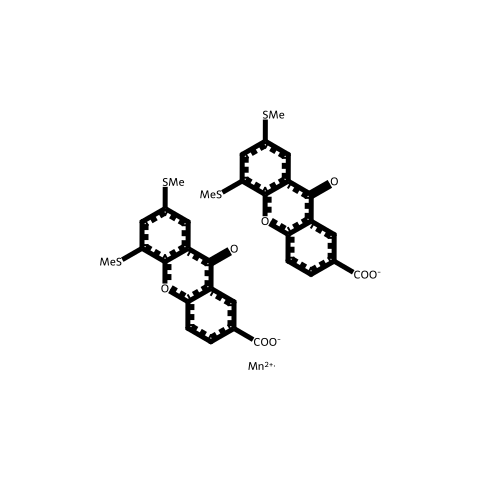 CSc1cc(SC)c2oc3ccc(C(=O)[O-])cc3c(=O)c2c1.CSc1cc(SC)c2oc3ccc(C(=O)[O-])cc3c(=O)c2c1.[Mn+2]